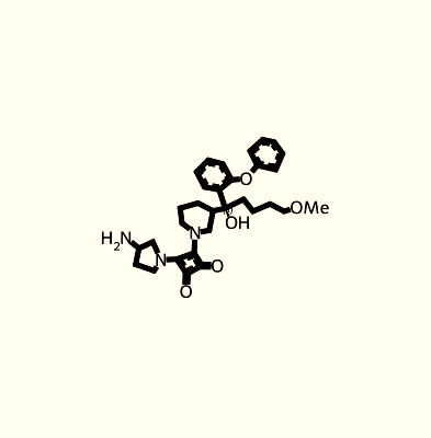 COCCCC[C@](O)(c1ccccc1Oc1ccccc1)C1CCCN(c2c(N3CCC(N)C3)c(=O)c2=O)C1